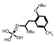 CCCCOc1ccc(C)cc1CC(CC)CCCC.O=P(O)(O)O